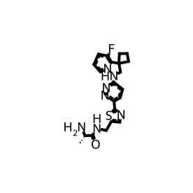 C[C@H](N)C(=O)NCc1cnc(-c2ccc(NCC3(c4ncccc4F)CCC3)nn2)s1